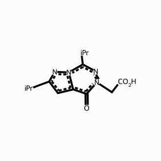 CC(C)c1cc2c(=O)n(CC(=O)O)nc(C(C)C)n2n1